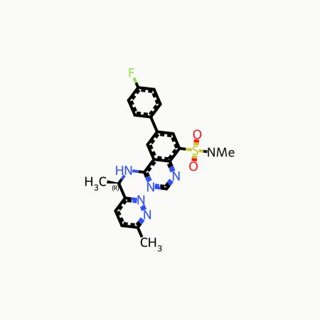 CNS(=O)(=O)c1cc(-c2ccc(F)cc2)cc2c(N[C@H](C)c3ccc(C)nn3)ncnc12